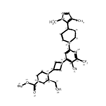 Cc1cnn(C)c1C1CCN(c2cc(N3CC(N4CCN(C(=O)OC(C)(C)C)C[C@@H]4CO)C3)c(C#N)c(C(F)(F)F)n2)CC1